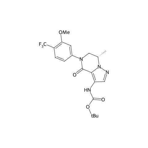 COc1cc(N2C[C@H](C)n3ncc(NC(=O)OC(C)(C)C)c3C2=O)ccc1C(F)(F)F